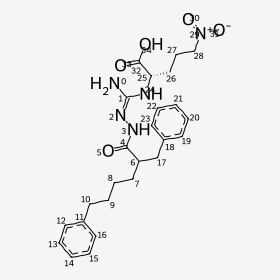 NC(=NNC(=O)C(CCCCc1ccccc1)Cc1ccccc1)N[C@@H](CCC[N+](=O)[O-])C(=O)O